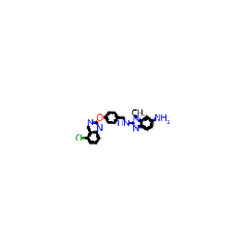 Cn1c(NCc2ccc(Oc3ncc4c(Cl)cccc4n3)cc2)nc2ccc(N)cc21